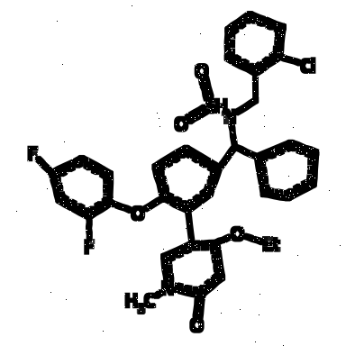 CCOc1cc(=O)n(C)cc1-c1cc(C(c2ccccc2)N(Cc2ccccc2Cl)[SH](=O)=O)ccc1Oc1ccc(F)cc1F